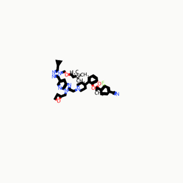 CC1(c2ccc(C#N)cc2F)Oc2cccc(C3CCN(Cc4nc5cc(-c6nnc(C7CC7)n6COCC[Si](C)(C)C)cnc5n4CC4CCO4)CC3)c2O1